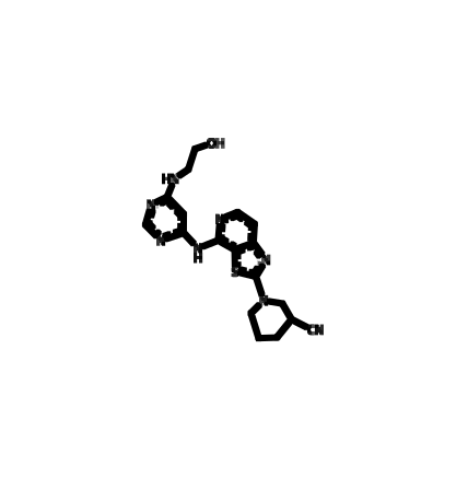 N#CC1CCCN(c2nc3ccnc(Nc4cc(NCCO)ncn4)c3s2)C1